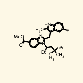 CCCC(C)(C)CC(CC)n1c(Cc2c(C)[nH]c3ccc(F)cc23)nc2cc(C(=O)OC)ccc21